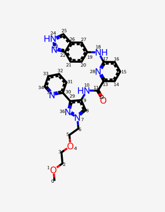 COCCOCCn1cc(NC(=O)c2cccc(Nc3ccc4n[nH]cc4c3)n2)c(-c2ccccn2)n1